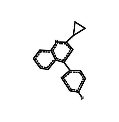 Fc1ccc(-c2cc(C3CC3)nc3ccccc23)cc1